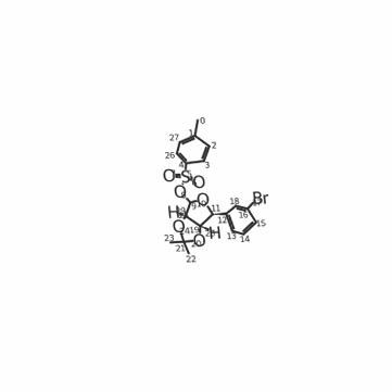 Cc1ccc(S(=O)(=O)OC2O[C@@H](c3cccc(Br)c3)[C@@H]3OC(C)(C)O[C@H]23)cc1